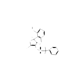 BC(B)(c1ccccc1)S(=O)(=O)OC1=C(N)O[C@](B)(c2c(OC)cccc2OC)C1=O